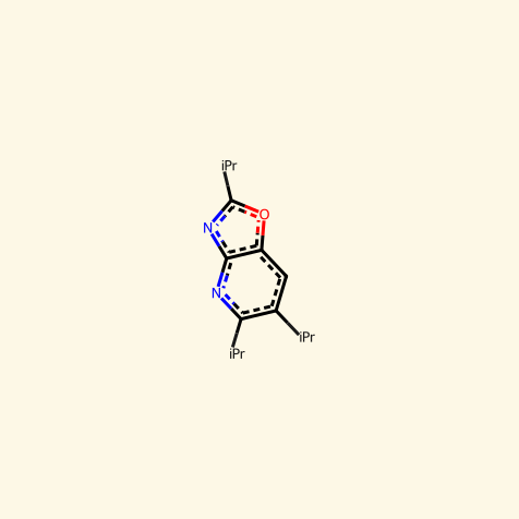 CC(C)c1nc2nc(C(C)C)c(C(C)C)cc2o1